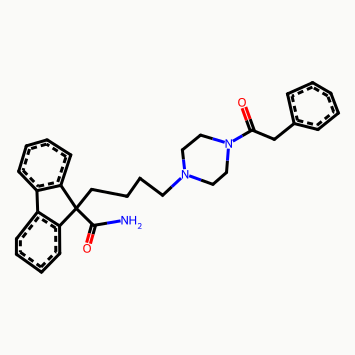 NC(=O)C1(CCCCN2CCN(C(=O)Cc3ccccc3)CC2)c2ccccc2-c2ccccc21